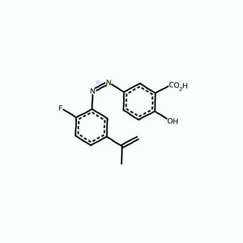 C=C(C)c1ccc(F)c(/N=N\c2ccc(O)c(C(=O)O)c2)c1